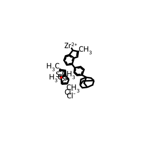 CC1=C2c3sc(C)cc3C1[Si]2(C)C.CC1=Cc2c(-c3ccc(C45CC6CC(CC(C6)C4)C5)cc3)cccc2[CH]1[Zr+2].[Cl-].[Cl-]